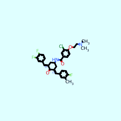 Cc1cc(/C=C2\CC(NC(=O)c3ccc(OCCN(C)C)c(Cl)c3)C/C(=C\c3ccc(F)c(F)c3)C2=O)ccc1F